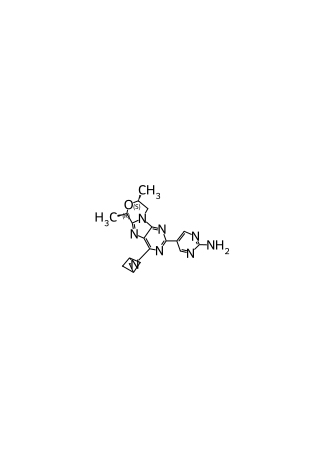 C[C@H]1Cn2c(nc3c(N4CC5CC4C5)nc(-c4cnc(N)nc4)nc32)[C@@H](C)O1